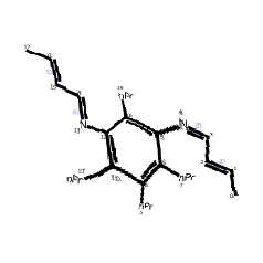 C/C=C/C=N\c1c(CCC)c(CCC)c(CCC)c(/N=C/C=C/C)c1CCC